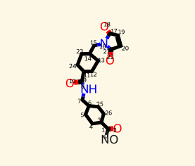 O=NC(=O)C1CCC(CNC(=O)C2CCC(CN3C(=O)C=CC3=O)CC2)CC1